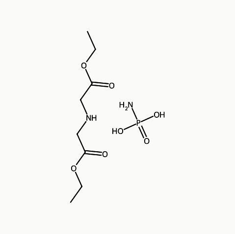 CCOC(=O)CNCC(=O)OCC.NP(=O)(O)O